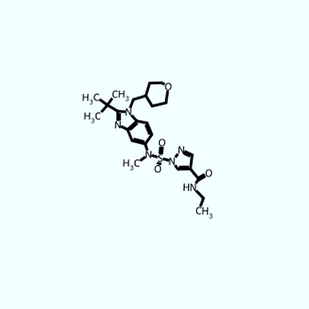 CCNC(=O)c1cnn(S(=O)(=O)N(C)c2ccc3c(c2)nc(C(C)(C)C)n3CC2CCOCC2)c1